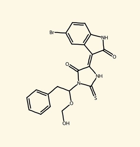 O=C1Nc2ccc(Br)cc2/C1=C1/NC(=S)N(C(Cc2ccccc2)OCO)C1=O